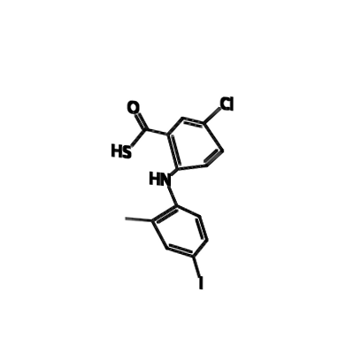 Cc1cc(I)ccc1Nc1ccc(Cl)cc1C(=O)S